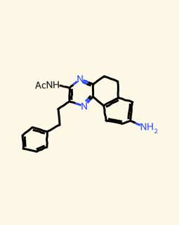 CC(=O)Nc1nc2c(nc1CCc1ccccc1)-c1ccc(N)cc1CC2